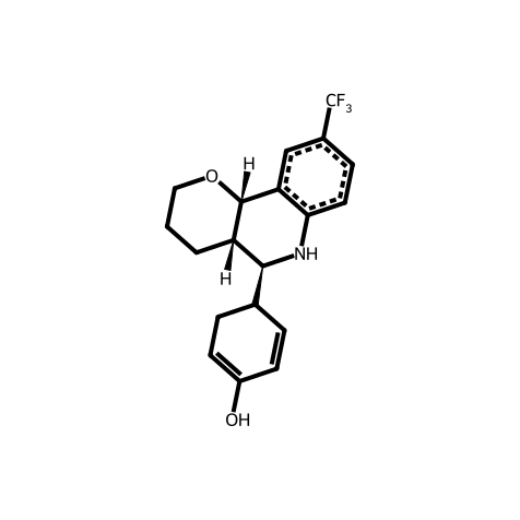 OC1=CCC([C@@H]2Nc3ccc(C(F)(F)F)cc3[C@H]3OCCC[C@H]32)C=C1